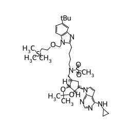 CC1(C)O[C@@H]2[C@@H](CN(CCCCc3nc4cc(C(C)(C)C)ccc4n3COCC[Si](C)(C)C)S(C)(=O)=O)C[C@@H](n3ccc4c(NC5CC5)ncnc43)[C@@H]2O1